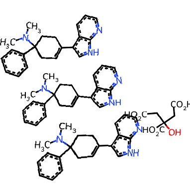 CN(C)C1(c2ccccc2)CC=C(c2c[nH]c3ncccc23)CC1.CN(C)C1(c2ccccc2)CC=C(c2c[nH]c3ncccc23)CC1.CN(C)C1(c2ccccc2)CC=C(c2c[nH]c3ncccc23)CC1.O=C(O)CC(O)(CC(=O)O)C(=O)O